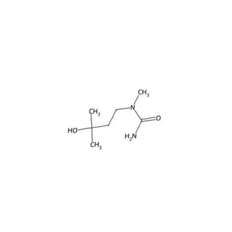 CN(CCC(C)(C)O)C(N)=O